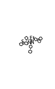 CC[C@@H]1C(c2ccc3c(c2)oc2ccccc23)=NC(c2ccc(-c3ccccc3)cc2)=NC1c1ccccc1-c1cccc2c1sc1ccccc12